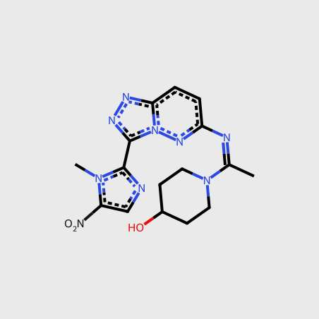 CC(=Nc1ccc2nnc(-c3ncc([N+](=O)[O-])n3C)n2n1)N1CCC(O)CC1